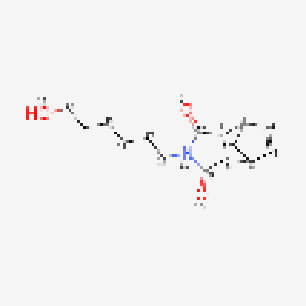 O=C1C2C3C=CC(C3)C2C(=O)N1CCCCCCO